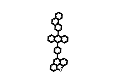 c1ccc2c(c1)ccc1cc(-c3c4ccccc4c(-c4ccc(-c5cc6cccc7oc8cccc5c8c67)cc4)c4ccccc34)ccc12